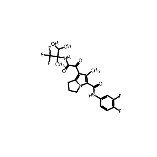 Cc1c(C(=O)C(=O)NC(C)(C(O)O)C(F)(F)F)c2n(c1C(=O)Nc1ccc(F)c(F)c1)CCC2